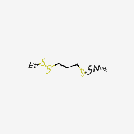 CCSSCCCSSC